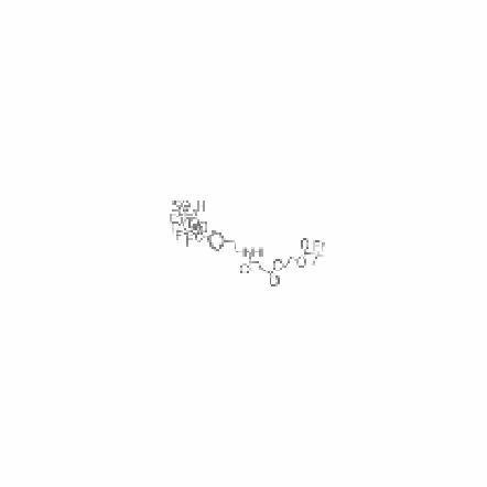 CCC(C)(C)C(=O)OCCOC(=O)CCC(=O)NCCc1ccc(OS(=O)(=O)C(F)(F)C(F)(F)C(F)(F)S(=O)(=O)O)cc1